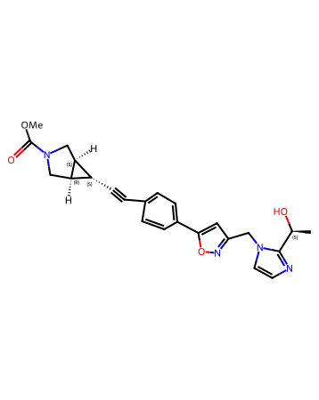 COC(=O)N1C[C@@H]2[C@@H](C#Cc3ccc(-c4cc(Cn5ccnc5[C@H](C)O)no4)cc3)[C@@H]2C1